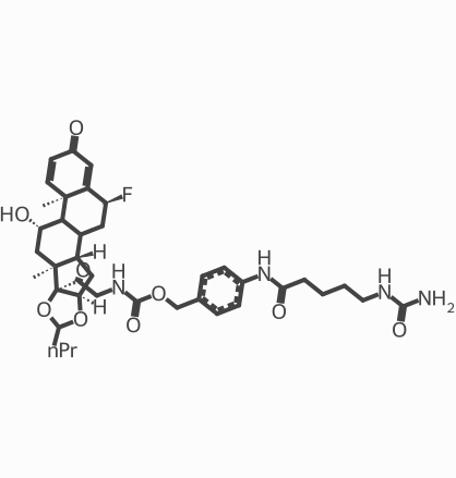 CCCC1O[C@@H]2C[C@H]3C4C[C@H](F)C5=CC(=O)C=C[C@]5(C)C4[C@@H](O)C[C@]3(C)[C@]2(C(=O)CNC(=O)OCc2ccc(NC(=O)CCCCNC(N)=O)cc2)O1